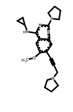 COc1cc2c(NC3CC3)nc(N3CCCC3)nc2cc1C#CCN1CCCC1